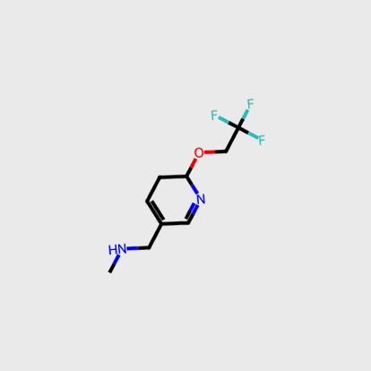 CNCC1=CCC(OCC(F)(F)F)N=C1